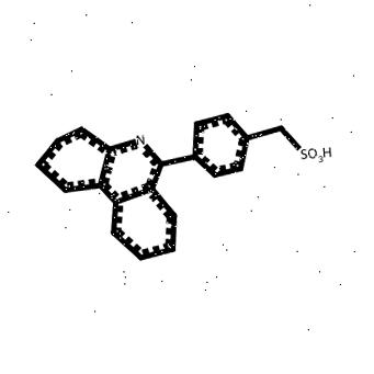 O=S(=O)(O)Cc1ccc(-c2nc3ccccc3c3ccccc23)cc1